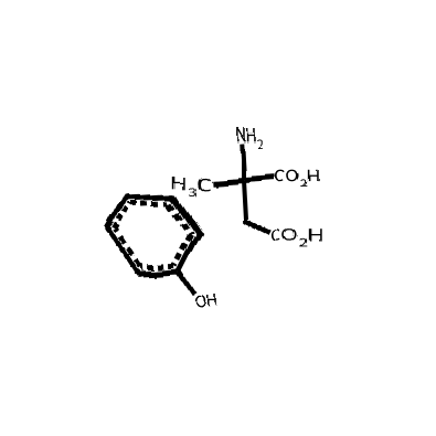 CC(N)(CC(=O)O)C(=O)O.Oc1ccccc1